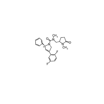 CN(CC1CCC(=O)N1C)C(=O)N1CC(c2cc(F)ccc2F)=C[C@H]1c1ccccc1